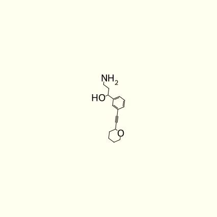 NCCC(O)c1cccc(C#CC2CCCCO2)c1